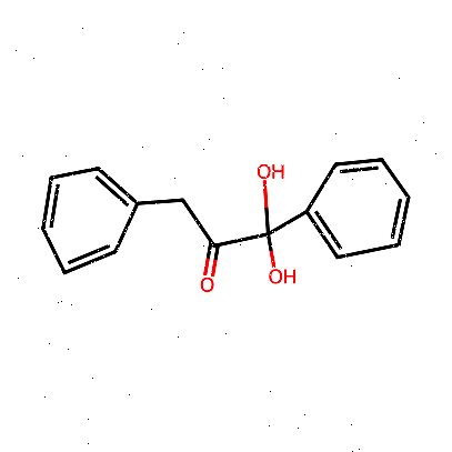 O=C(Cc1ccccc1)C(O)(O)c1ccccc1